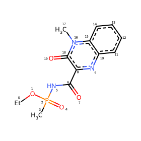 CCOP(C)(=O)NC(=O)c1nc2ccccc2n(C)c1=O